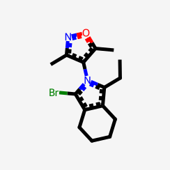 CCc1c2c(c(Br)n1-c1c(C)noc1C)CCCC2